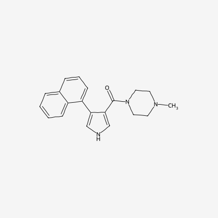 CN1CCN(C(=O)c2c[nH]cc2-c2cccc3ccccc23)CC1